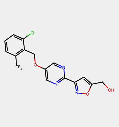 OCc1cc(-c2ncc(OCc3c(Cl)cccc3C(F)(F)F)cn2)no1